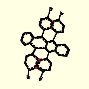 Brc1ccc(-c2c3ccccc3c(-c3ccc(Br)cc3)c3c(-c4ccc(Br)cc4)c4ccccc4c(-c4ccc(Br)cc4)c23)cc1